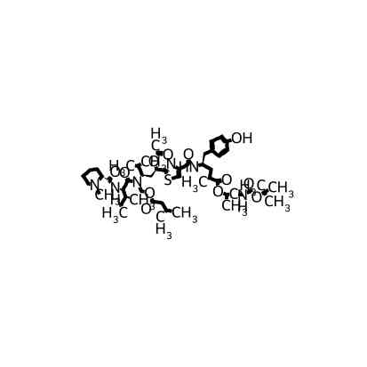 CC[C@H](C)[C@H](NC(=O)[C@H]1CCCCN1C)C(=O)N(COC(=O)CC(C)C)[C@H](C[C@@H](OC(C)=O)c1nc(C(=O)N[C@@H](Cc2ccc(O)cc2)C[C@H](C)C(=O)OC(C)CNC(=O)OC(C)(C)C)cs1)C(C)C